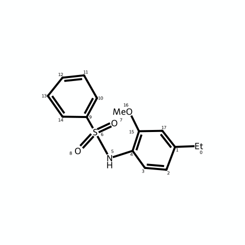 CCc1ccc(NS(=O)(=O)c2ccccc2)c(OC)c1